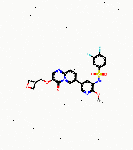 COc1ncc(-c2ccc3ncc(OCC4COC4)c(=O)n3c2)cc1NS(=O)(=O)c1ccc(F)c(F)c1